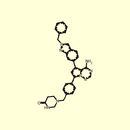 Nc1ncnn2c(-c3ccc(CN4CCC(=O)NC4)cc3)cc(-c3ccc4cn(Cc5ccccc5)nc4c3)c12